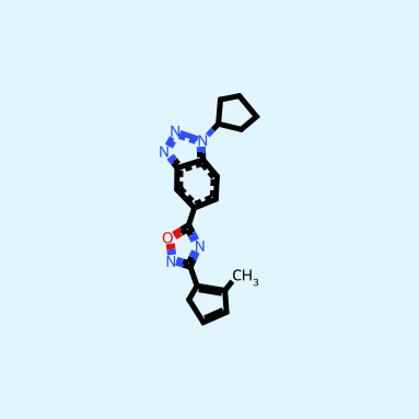 CC1=C(c2noc(-c3ccc4c(c3)nnn4C3CCCC3)n2)CC=C1